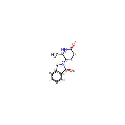 C=C1NC(=O)CCC1N1Cc2ccccc2C1=O